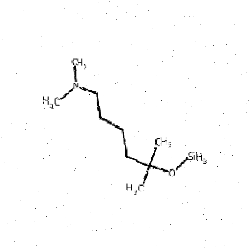 CN(C)CCCCC(C)(C)O[SiH3]